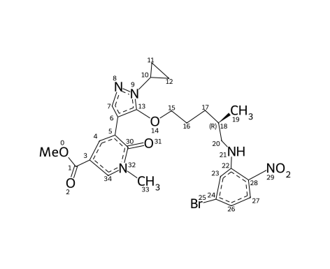 COC(=O)c1cc(-c2cnn(C3CC3)c2OCCC[C@@H](C)CNc2cc(Br)ccc2[N+](=O)[O-])c(=O)n(C)c1